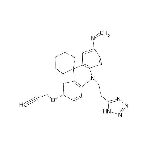 C#CCOc1ccc2c(c1)C1(CCCCC1)c1cc(N=C)ccc1N2CCc1nnn[nH]1